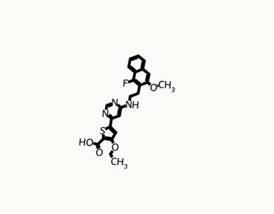 CCOc1cc(-c2cc(NCCc3c(OC)cc4ccccc4c3F)ncn2)sc1C(=O)O